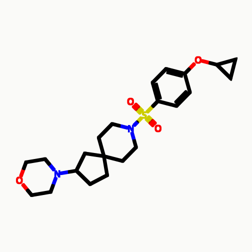 O=S(=O)(c1ccc(OC2CC2)cc1)N1CCC2(CCC(N3CCOCC3)C2)CC1